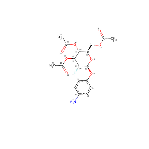 CC(=O)OC[C@H]1O[C@@H](Oc2ccc(N)cc2)[C@H](F)[C@@H](OC(C)=O)[C@@H]1OC(C)=O